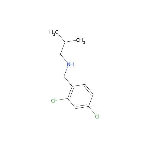 CC(C)CNCc1ccc(Cl)cc1Cl